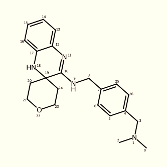 CN(C)Cc1ccc(CNC2=Nc3ccccc3NC23CCOCC3)cc1